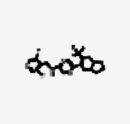 Fc1cncc(F)c1CNc1cnc(C2=C(C(F)(F)F)CC3CCCC3C2)cn1